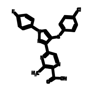 Cc1nc(-c2nn(-c3ccc(F)cc3)cc2Sc2ccc(Cl)cc2)cnc1C(=O)O